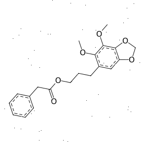 COc1c(CCCOC(=O)Cc2ccccc2)cc2c(c1OC)OCO2